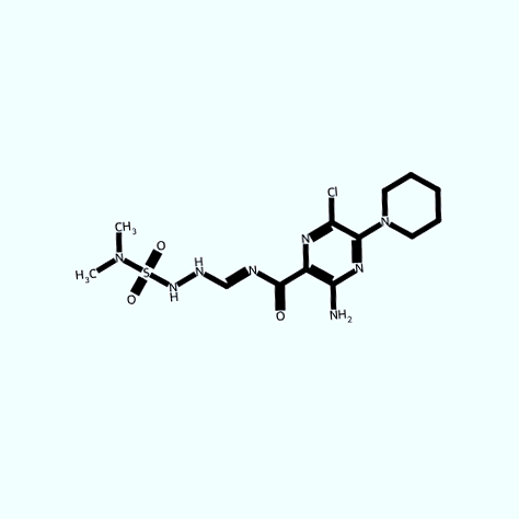 CN(C)S(=O)(=O)NNC=NC(=O)c1nc(Cl)c(N2CCCCC2)nc1N